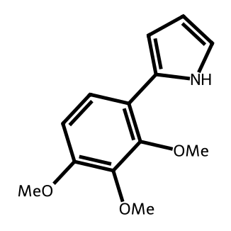 COc1ccc(-c2ccc[nH]2)c(OC)c1OC